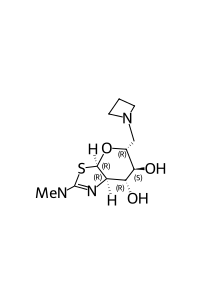 CNC1=N[C@@H]2[C@@H](O)[C@H](O)[C@@H](CN3CCC3)O[C@@H]2S1